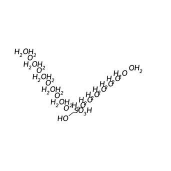 O.O.O.O.O.O.O.O.O.O.O.O.O.O.O.O.O.O.O=S(=O)(O)O